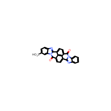 O=c1c2ccc3c4c(ccc(c24)c2nc4ccccc4n12)c(=O)n1c2cc(S(=O)(=O)O)ccc2nc31